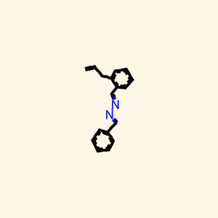 C=CCc1ccccc1C=NN=Cc1ccccc1